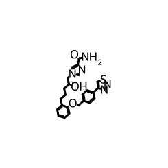 NC(=O)c1cn(C[C@@H](O)CCCc2ccccc2OCc2ccc(-c3csnn3)cc2)cn1